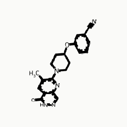 Cc1cc2c(=O)[nH]ncc2nc1N1CCC(Oc2cccc(C#N)c2)CC1